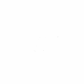 CCC(C)(CC)Sc1ccccc1